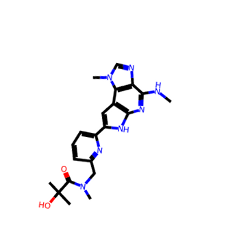 CNc1nc2[nH]c(-c3cccc(CN(C)C(=O)C(C)(C)O)n3)cc2c2c1ncn2C